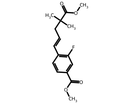 COC(=O)c1ccc(C=CCC(C)(C)C(=O)OC)c(F)c1